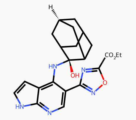 CCOC(=O)c1nc(-c2cnc3[nH]ccc3c2N[C@]2(O)C3CC4CC2C[C@H](C4)C3)no1